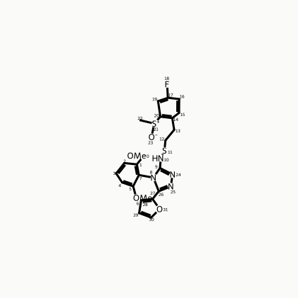 COc1cccc(OC)c1-n1c(NSCCc2ccc(F)cc2[S+](C)[O-])nnc1-c1ccco1